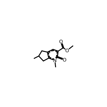 COC(=O)c1cc2c(n(C)c1=O)CC(C)C2